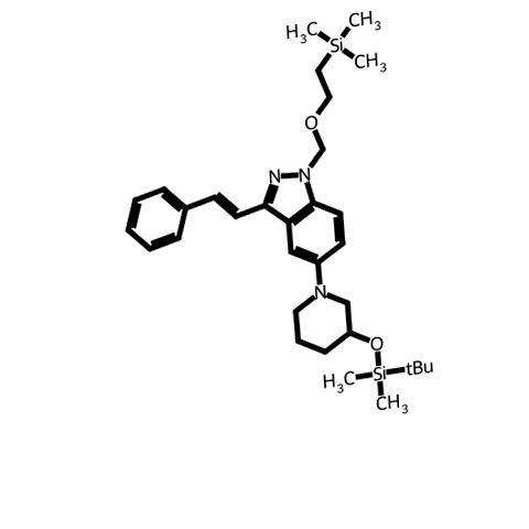 CC(C)(C)[Si](C)(C)OC1CCCN(c2ccc3c(c2)c(C=Cc2ccccc2)nn3COCC[Si](C)(C)C)C1